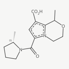 CC1OCCn2c(C(=O)N3CCC[C@@H]3C)cc(C(=O)O)c21